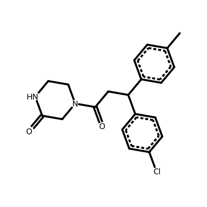 Cc1ccc(C(CC(=O)N2CCNC(=O)C2)c2ccc(Cl)cc2)cc1